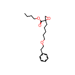 CCCCOC(=O)C1(CCCCCOCCc2ccccc2)CO1